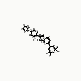 CC1(C)C=C(c2ccn3cc(-c4ncc(-n5nccn5)cc4O)nc3n2)CC(C)(C)N1